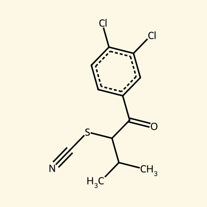 CC(C)C(SC#N)C(=O)c1ccc(Cl)c(Cl)c1